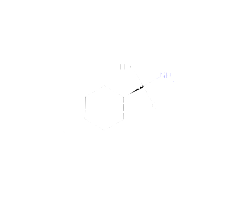 CC(C)(N)[C@H]1CC[C@H](C)CC1